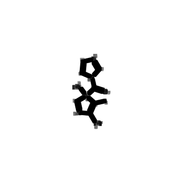 CCCC1=C(C)[N+](CCC)(C(=O)n2ccnc2)C=N1